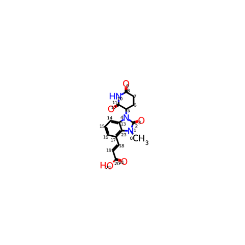 Cn1c(=O)n(C2CCC(=O)NC2=O)c2cccc(/C=C/C(=O)O)c21